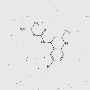 CC1CC(NC(=O)OC(C)C)c2cc(Br)ccc2N1